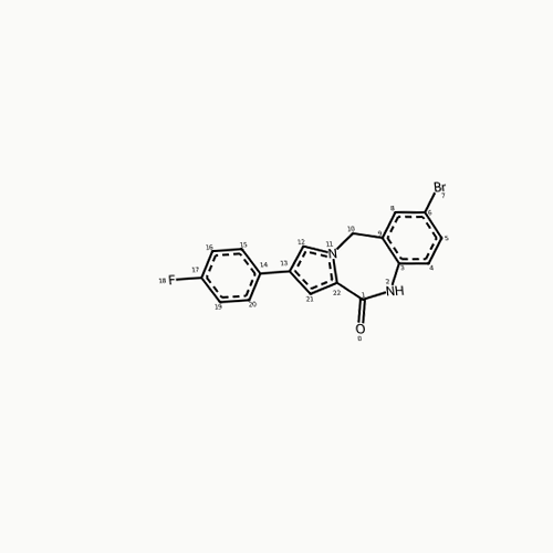 O=C1Nc2ccc(Br)cc2Cn2cc(-c3ccc(F)cc3)cc21